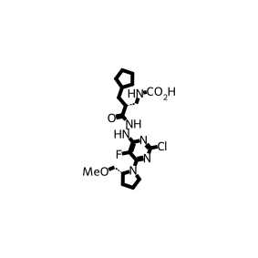 COC[C@H]1CCCN1c1nc(Cl)nc(NNC(=O)[C@@H](CNC(=O)O)CC2CCCC2)c1F